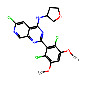 COc1cc(OC)c(Cl)c(-c2nc(NC3CCOC3)c3cc(Cl)ncc3n2)c1Cl